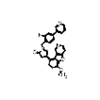 COC1=c2oc3ccncc3c2=C(C2CC(=O)N(Cc3ccc(-c4cccnc4)cc3F)C2)CC1